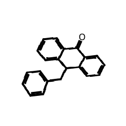 O=C1c2ccccc2C(Cc2ccccc2)c2ccccc21